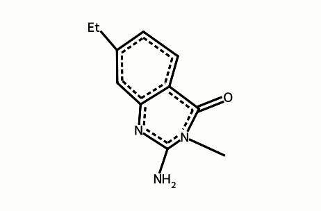 CCc1ccc2c(=O)n(C)c(N)nc2c1